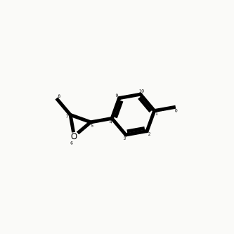 Cc1ccc(C2OC2C)cc1